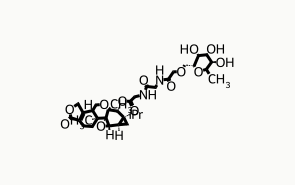 CC1O[C@H](COCC(=O)NCC(=O)NCC(=O)O[C@@H]2[C@@]3(C(C)C)C[C@H]3[C@@H]3O[C@@]34[C@@]3(C)CCC5=C(COC5=O)[C@@H]3CO[C@]24C)[C@@H](O)[C@H](O)[C@H]1O